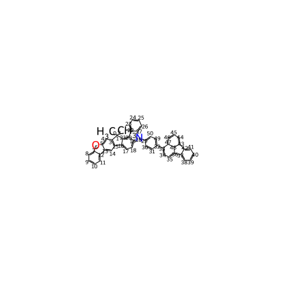 CC1(C)c2cc3oc4ccccc4c3cc2-c2ccc3c(c21)c1ccccc1n3-c1ccc(C2=CC=C3c4ccccc4C4=CC=CC2C43)cc1